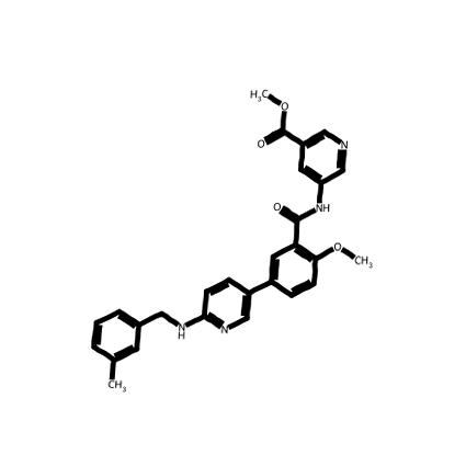 COC(=O)c1cncc(NC(=O)c2cc(-c3ccc(NCc4cccc(C)c4)nc3)ccc2OC)c1